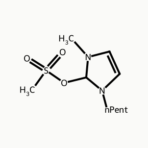 CCCCCN1C=CN(C)C1OS(C)(=O)=O